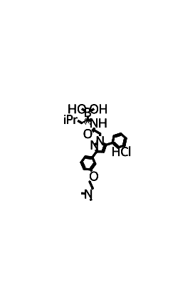 CC(C)C[C@H](NC(=O)Cn1nc(-c2cccc(OCCN(C)C)c2)cc1-c1ccccc1)B(O)O.Cl